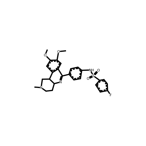 COc1cc2c(cc1OC)C1CN(C)CCC1N=C2c1ccc(NS(=O)(=O)c2ccc(F)cc2)cc1